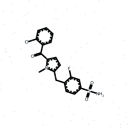 Cn1c(Cc2ccc(S(N)(=O)=O)cc2F)ccc1C(=O)c1ccccc1Cl